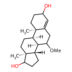 COC1CC2=CC(O)CC[C@]2(C)[C@@H]2CC[C@]3(C)C(O)CC[C@H]3[C@H]12